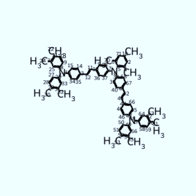 Cc1cc(C)c(N(c2ccc(/C=C/c3ccc(N(c4ccc(C)c(C)c4)c4ccc(C)c(C)c4)cc3)cc2)c2ccc(/C=C/c3ccc(N(c4ccc(C)c(C)c4)c4ccc(C)c(C)c4)cc3)cc2)c(C)c1